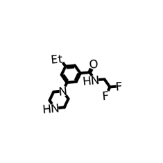 CCc1cc(C(=O)NCC(F)F)cc(N2CCNCC2)c1